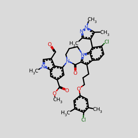 COC(=O)c1cc(N2CCCn3c(c(CCCOc4cc(C)c(Cl)c(C)c4)c4ccc(Cl)c(-c5c(C)nn(C)c5C)c43)C2=O)c2c(C=O)cn(C)c2c1